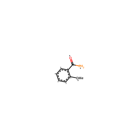 COc1ccccc1C(=O)P